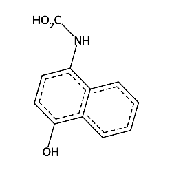 O=C(O)Nc1ccc(O)c2ccccc12